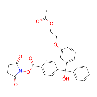 CC(=O)OCCOc1cccc(C(O)(c2ccccc2)c2ccc(C(=O)ON3C(=O)CCC3=O)cc2)c1